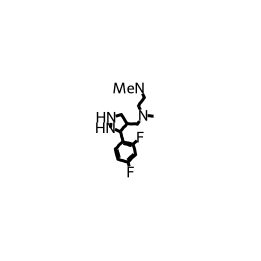 CNCCN(C)CC1CNNC1c1ccc(F)cc1F